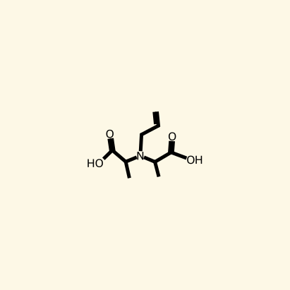 C=CCN(C(C)C(=O)O)C(C)C(=O)O